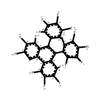 CC(C)c1c(F)c(F)c(-c2c(-c3c(F)c(F)c(F)c(F)c3F)c3c(F)c(F)c(F)cc3c3c(F)c(F)c(F)c(F)c23)c(F)c1F